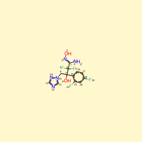 NC(=NO)C(F)(F)C(O)(Cn1cncn1)c1ccc(F)cc1F